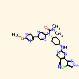 COc1ncc(-c2cnc(N(C(=O)N(C)C)[C@H]3CC[C@H](Nc4ncc(C#N)c(-c5n[nH]cc5Cl)n4)CC3)cn2)cn1